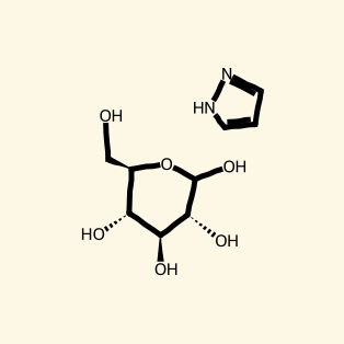 OC[C@H]1OC(O)[C@H](O)[C@@H](O)[C@@H]1O.c1cn[nH]c1